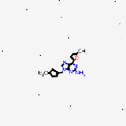 Cc1ccc(Cn2cnc3c(-c4ccc(C)o4)nc(N)nc32)cc1